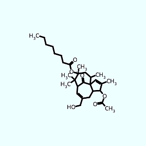 CCCCCCCC(=O)O[C@]1(C)CC(C)C23C=C(C)C(OC(C)=O)C2CC(CO)=CC(C3=O)C1(C)C